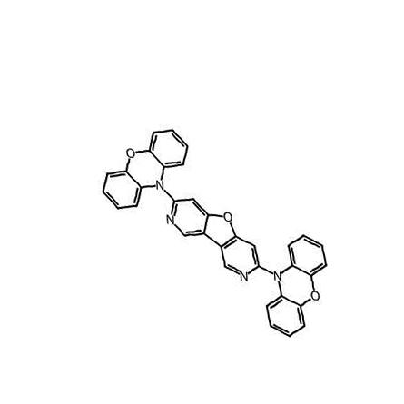 c1ccc2c(c1)Oc1ccccc1N2c1cc2oc3cc(N4c5ccccc5Oc5ccccc54)ncc3c2cn1